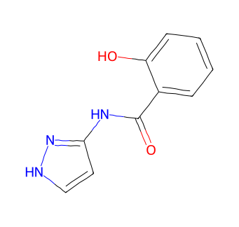 O=C(Nc1cc[nH]n1)c1ccccc1O